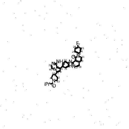 CC(C)C(=O)N1CCC(c2cc(-c3ccc(Nc4nccc5ccn(-c6ccc(F)cc6)c(=O)c45)cc3)c3c(N)nccn23)CC1